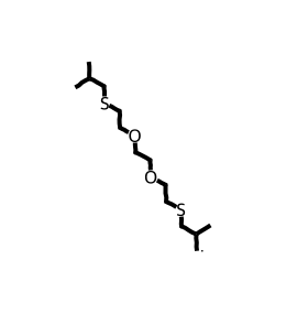 [CH2]C(C)CSCCOCCOCCSCC(C)C